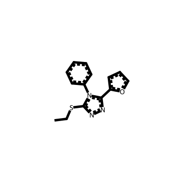 CCSc1nnc(-c2ccco2)n1-c1ccccc1